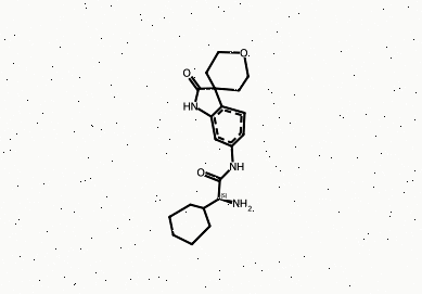 N[C@H](C(=O)Nc1ccc2c(c1)NC(=O)C21CCOCC1)C1CCCCC1